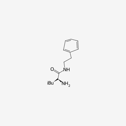 CC[C@H](C)[C@H](N)C(=O)NCCc1ccccc1